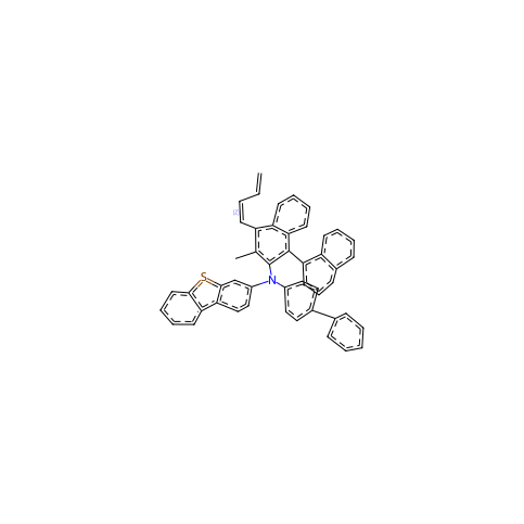 C=C/C=C\c1c(C)c(N(c2ccc(-c3ccccc3)cc2)c2ccc3c(c2)sc2ccccc23)c(-c2cccc3ccccc23)c2ccccc12